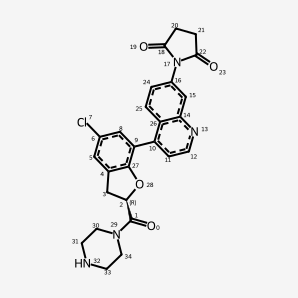 O=C([C@H]1Cc2cc(Cl)cc(-c3ccnc4cc(N5C(=O)CCC5=O)ccc34)c2O1)N1CCNCC1